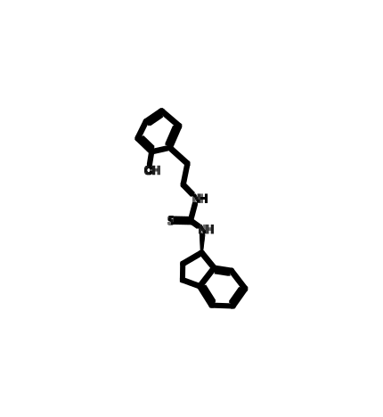 Oc1ccccc1CCNC(=S)N[C@@H]1CCc2ccccc21